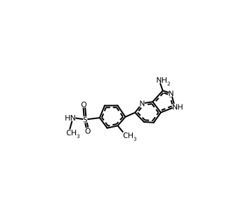 CNS(=O)(=O)c1ccc(-c2ccc3[nH]nc(N)c3n2)c(C)c1